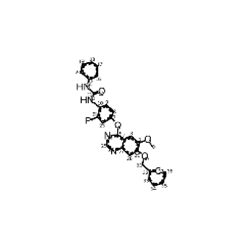 COc1cc2c(Oc3ccc(NC(=O)Nc4ccccc4)c(F)c3)ncnc2cc1OCc1ccccc1